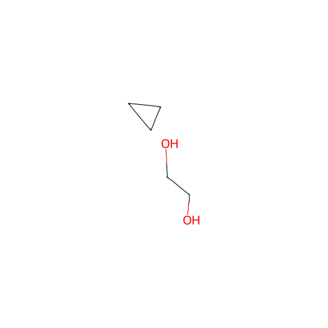 C1CC1.OCCO